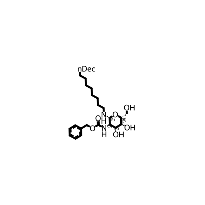 CCCCCCCCCCCCCCCCCCN[C@@H]1O[C@H](CO)[C@H](O)[C@H](O)[C@@H]1NC(=O)OCc1ccccc1